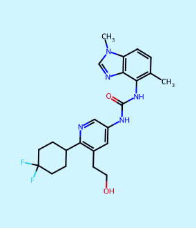 Cc1ccc2c(ncn2C)c1NC(=O)Nc1cnc(C2CCC(F)(F)CC2)c(CCO)c1